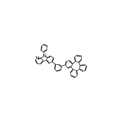 c1ccc(-n2c3ccc(-c4cccc(-c5ccc6c(c5)-c5ccccc5-c5ccccc5-c5ccccc5-6)c4)cc3c3cccnc32)cc1